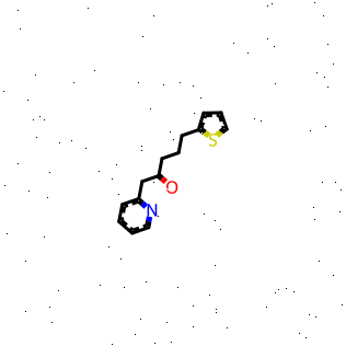 O=C(CCCc1cccs1)Cc1ccccn1